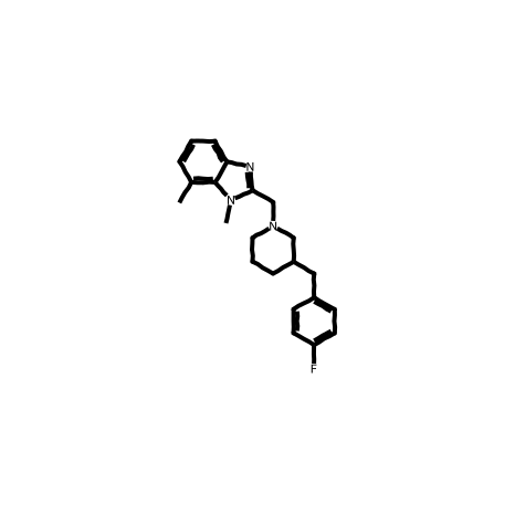 Cc1cccc2nc(CN3CCCC(Cc4ccc(F)cc4)C3)n(C)c12